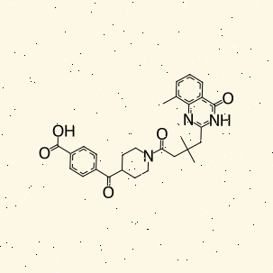 Cc1cccc2c(=O)[nH]c(CC(C)(C)CC(=O)N3CCC(C(=O)c4ccc(C(=O)O)cc4)CC3)nc12